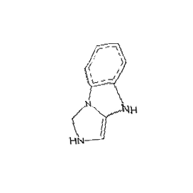 C1=C2Nc3ccccc3N2CN1